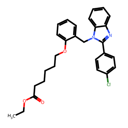 CCOC(=O)CCCCCOc1ccccc1Cn1c(-c2ccc(Cl)cc2)nc2ccccc21